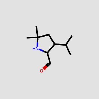 CC(C)C1CC(C)(C)NC1C=O